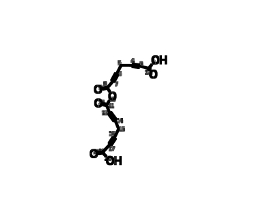 O=C(O)C#CCC#CC(=O)OC(=O)C#CCC#CC(=O)O